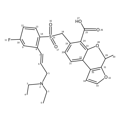 CCN(CC)CC=Cc1cc(F)ccc1S(=O)(=O)Cc1ccc2c(c1C(=O)O)OC(C)c1occc1-2